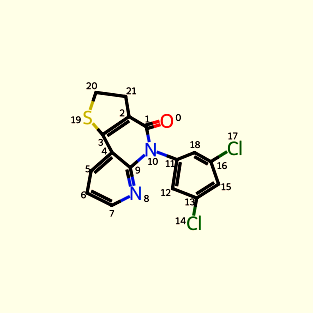 O=c1c2c(c3cccnc3n1-c1cc(Cl)cc(Cl)c1)SCC2